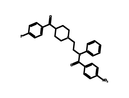 O=C(c1ccc(F)cc1)C1CCN(CCN(C(=O)c2ccc([N+](=O)[O-])cc2)c2ccccc2)CC1